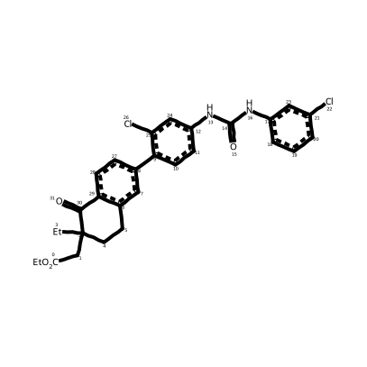 CCOC(=O)CC1(CC)CCc2cc(-c3ccc(NC(=O)Nc4cccc(Cl)c4)cc3Cl)ccc2C1=O